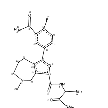 CNC(=O)C(NC(=O)c1nc(-c2ccc(F)c(C(N)=O)c2)n2c1CN(C)CCC2)C(C)(C)C